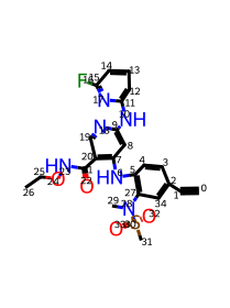 C#Cc1ccc(Nc2cc(Nc3cccc(F)n3)ncc2C(=O)NOCC)c(N(C)S(C)(=O)=O)c1